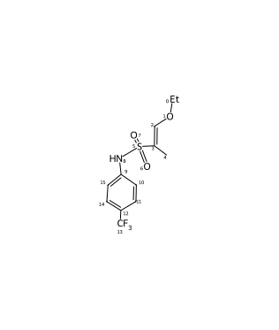 CCOC=C(C)S(=O)(=O)Nc1ccc(C(F)(F)F)cc1